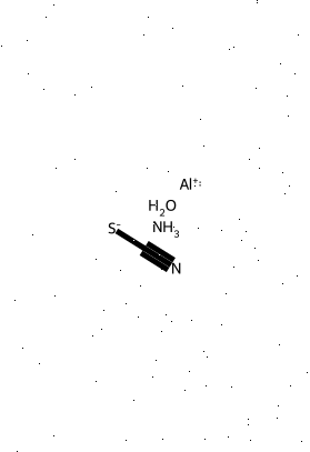 N.N#C[S-].O.[Al+]